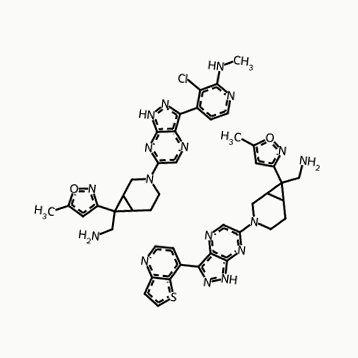 CNc1nccc(-c2n[nH]c3nc(N4CCC5C(C4)C5(CN)c4cc(C)on4)cnc23)c1Cl.Cc1cc(C2(CN)C3CCN(c4cnc5c(-c6ccnc7ccsc67)n[nH]c5n4)CC32)no1